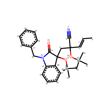 C/C=C/C(C#N)(CC1(O[Si](C)(C)C)C(=O)N(Cc2ccccc2)c2ccccc21)O[Si](C)(C)C